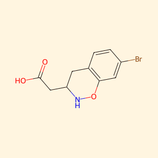 O=C(O)CC1Cc2ccc(Br)cc2ON1